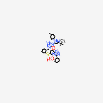 CCC(C)(C)c1cc(NC(=O)NCc2ccccc2Sc2ccc3nnc(-c4ccccc4O)n3c2)n(-c2ccc(C)cc2)n1